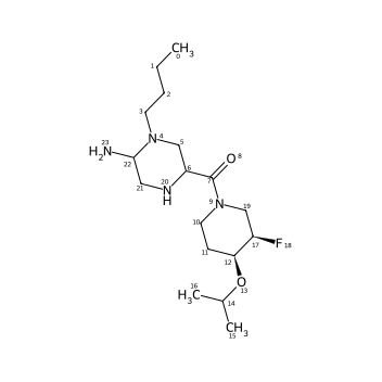 CCCCN1CC(C(=O)N2CC[C@H](OC(C)C)[C@H](F)C2)NCC1N